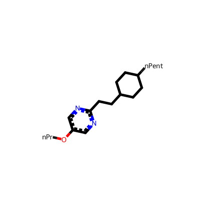 CCCCCC1CCC(CCc2ncc(OCCC)cn2)CC1